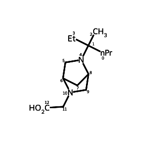 CCCC(C)(CC)N1CC2CC1CN2CC(=O)O